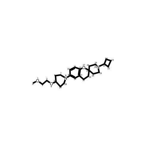 COCCOC1CCN(c2ccc3c(c2)CCC2(CCN(C4CCC4)CC2)O3)CC1